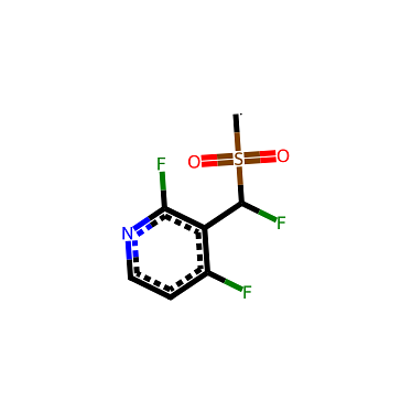 [CH2]S(=O)(=O)C(F)c1c(F)ccnc1F